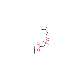 CC(C)CCOC(C)(C)CC(=O)OC(C)(C)C